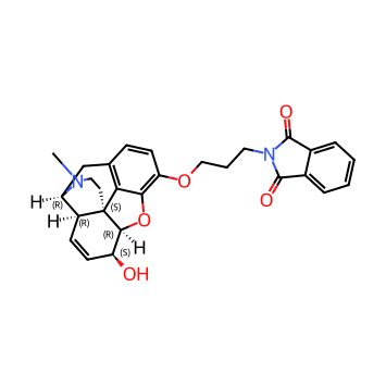 CN1CC[C@]23c4c5ccc(OCCCN6C(=O)c7ccccc7C6=O)c4O[C@H]2[C@@H](O)C=C[C@H]3[C@H]1C5